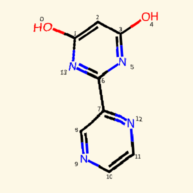 Oc1cc(O)nc(-c2cnccn2)n1